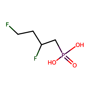 O=P(O)(O)CC(F)CCF